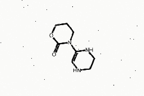 O=C1OCCCN1C1=CNCCN1